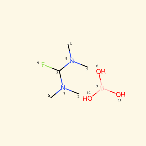 CN(C)C(F)N(C)C.OB(O)O